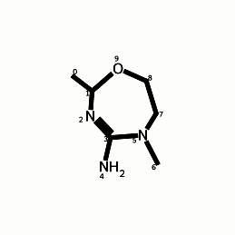 CC1N=C(N)N(C)CCO1